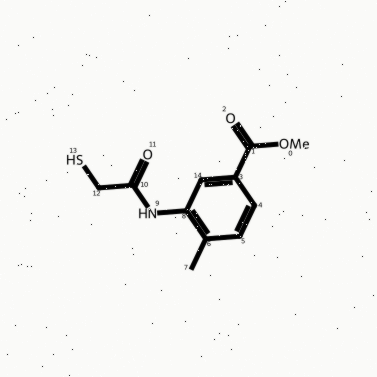 COC(=O)c1ccc(C)c(NC(=O)CS)c1